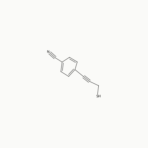 N#Cc1ccc(C#CCS)cc1